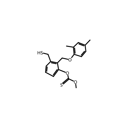 COC(=S)Oc1cccc(CS)c1COc1ccc(C)cc1C